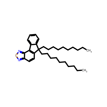 CCCCCCCCCCC1(CCCCCCCCCC)c2ccccc2-c2c1ccc1nsnc21